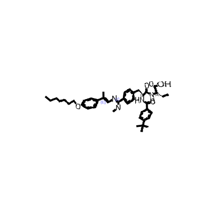 C=N/C(=N\C=C(/C)c1ccc(OCCCCCCC)cc1)c1ccc(C[C@H](NC(=O)c2ccc(C(C)(C)C)cc2)C(=O)N[C@@H](CC)C(=O)O)cc1